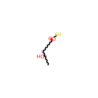 CCCCCC[C@@H](O)C/C=C\CCCCCCCC(=O)OCCS